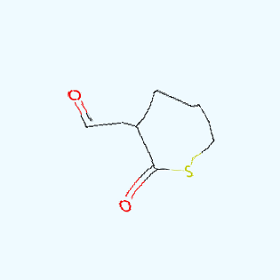 O=CC1CCCSC1=O